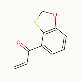 C=CC(=O)c1cccc2c1SCO2